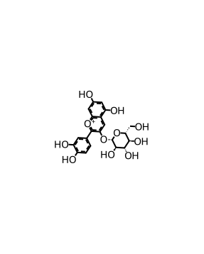 OC[C@H]1O[C@@H](Oc2cc3c(O)cc(O)cc3[o+]c2-c2ccc(O)c(O)c2)[C@H](O)[C@@H](O)[C@@H]1O